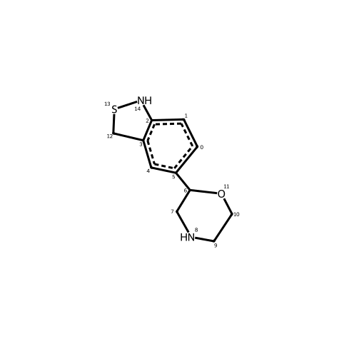 c1cc2c(cc1C1CNCCO1)CSN2